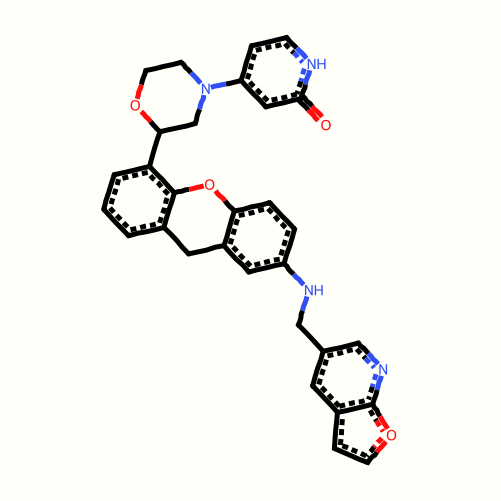 O=c1cc(N2CCOC(c3cccc4c3Oc3ccc(NCc5cnc6occc6c5)cc3C4)C2)cc[nH]1